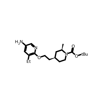 CCc1cc(N)cnc1OCC[C@@H]1CCN(C(=O)OC(C)(C)C)[C@H](C)C1